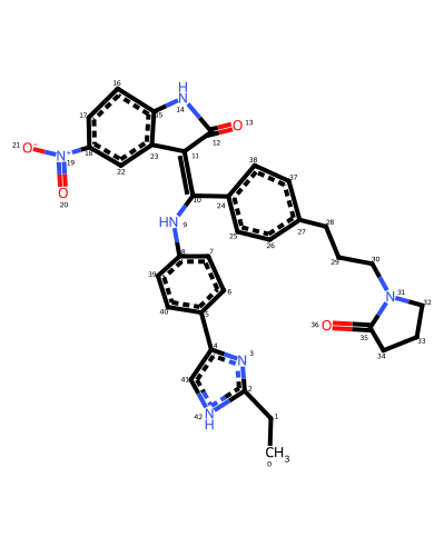 CCc1nc(-c2ccc(NC(=C3C(=O)Nc4ccc([N+](=O)[O-])cc43)c3ccc(CCCN4CCCC4=O)cc3)cc2)c[nH]1